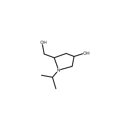 CC(C)N1CC(O)CC1CO